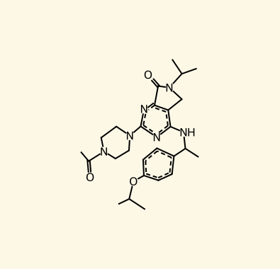 CC(=O)N1CCN(c2nc(NC(C)c3ccc(OC(C)C)cc3)c3c(n2)C(=O)N(C(C)C)C3)CC1